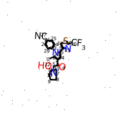 Cc1c(C(=O)CN2C3CCC2[C@@H](O)C3)cc(-c2csc(C(F)(F)F)n2)n1-c1ccc(C#N)cc1